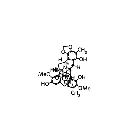 COc1cc2c(cc1O)CCN[C@]21CS[C@@H]2c3c(O)c(C)c4c(c3[C@H](CNC1=O)N1[C@@H]2C2c3c(cc(C)c(OC)c3O)CC([C@@H]1O)N2C)OCO4